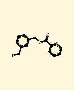 O=C(OCc1cccc(CF)c1)c1ccccn1